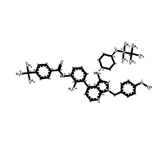 COc1ccc(Cn2nc(N[C@H]3CC[C@H](O[Si](C)(C)C(C)(C)C)CC3)c3c(-c4cccc(NC(=O)c5ccc(C(C)(C)C)cc5)c4C)ccnc32)cc1